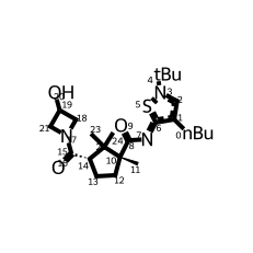 CCCCc1cn(C(C)(C)C)sc1=NC(=O)[C@]1(C)CC[C@H](C(=O)N2CC(O)C2)C1(C)C